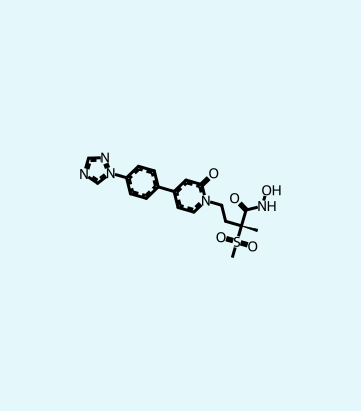 C[C@@](CCn1ccc(-c2ccc(-n3cncn3)cc2)cc1=O)(C(=O)NO)S(C)(=O)=O